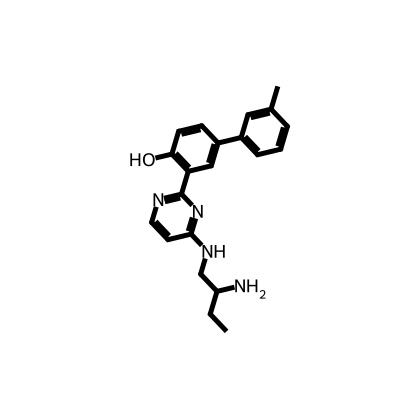 CCC(N)CNc1ccnc(-c2cc(-c3cccc(C)c3)ccc2O)n1